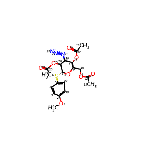 COc1ccc(S[C@H]2OC(COC(C)=O)[C@H](OC(C)=O)C(N=[N+]=[N-])C2OC(C)=O)cc1